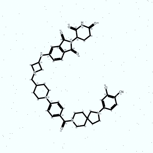 N#Cc1ccc(N2CCC3(CCN(C(=O)c4ccc(N5CCC(CN6CC(Oc7ccc8c(c7)C(=O)N(C7CCC(=O)NC7=O)C8=O)C6)CC5)cc4)CC3)C2)cc1Cl